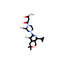 COC(=O)CC(=O)N1CCN(c2nc(C3CC3)c3c(c2C#N)CC(C)(C)OC3)CC1C(C)C